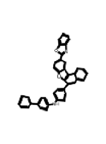 c1ccc(-c2ccc(Nc3ccc(-c4cc5ccccc5c5c4oc4ccc(-c6nc7ccccc7o6)cc45)cc3)cc2)cc1